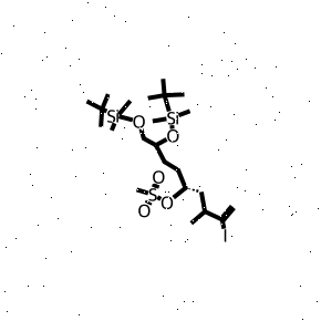 C=C(I)C(C)C[C@@H](CCC(CO[Si](C)(C)C(C)(C)C)O[Si](C)(C)C(C)(C)C)OS(C)(=O)=O